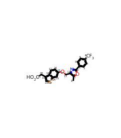 Cc1oc(-c2ccc(C(F)(F)F)cc2)nc1COc1ccc2c(CC(=O)O)csc2c1